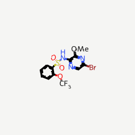 COc1nc(Br)cnc1NS(=O)(=O)c1ccccc1OC(F)(F)F